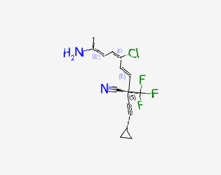 C\C(N)=C/C=C(Cl)\C=C\[C@@](C#N)(C#CC1CC1)C(F)(F)F